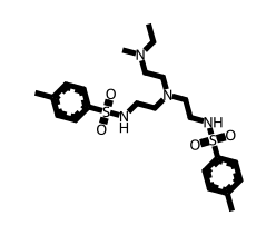 CCN(C)CCN(CCNS(=O)(=O)c1ccc(C)cc1)CCNS(=O)(=O)c1ccc(C)cc1